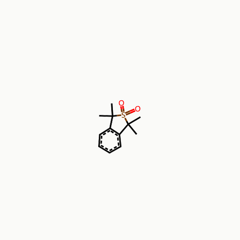 CC1(C)c2ccccc2C(C)(C)S1(=O)=O